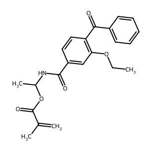 C=C(C)C(=O)OC(C)NC(=O)c1ccc(C(=O)c2ccccc2)c(OCC)c1